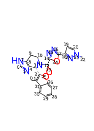 Cc1c([C@@H]2c3nc[nH]c3CCN2C(=O)c2nnc(-c3ccn(C)n3)o2)oc2ccccc12